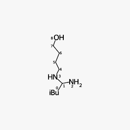 CCC(C)C(N)NCCCCO